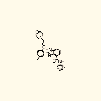 Cc1ccc(OCCN2CCOCC2)c(-c2nc3c(C(=O)Nc4nccs4)cccc3[nH]2)c1